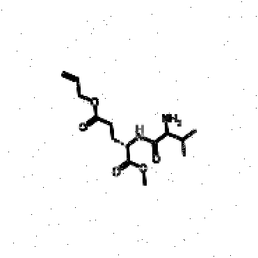 C=CCOC(=O)CC[C@H](NC(=O)C(N)C(C)C)C(=O)OC